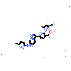 Cc1ccc(Nc2ccc3c(-c4ccc([C@@H](C)O)c(-n5nc(C#N)cc5C)n4)cnn3c2)nn1